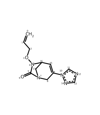 C=CCON1C(=O)N2CC(n3cncn3)=CC1C2